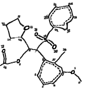 COc1cccc(C(C(OC(C)=O)C2CCCO2)S(=O)(=O)c2ccccc2)c1C